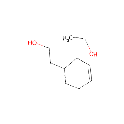 CCO.OCCC1CC=CCC1